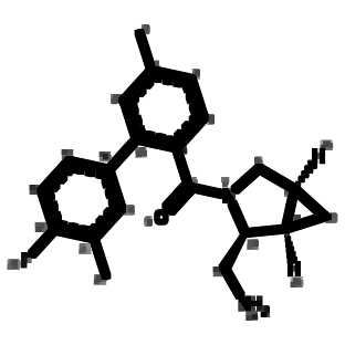 Cc1ccc(C(=O)N2C[C@H]3C[C@H]3[C@H]2CN)c(-c2ccc(F)c(C)c2)c1